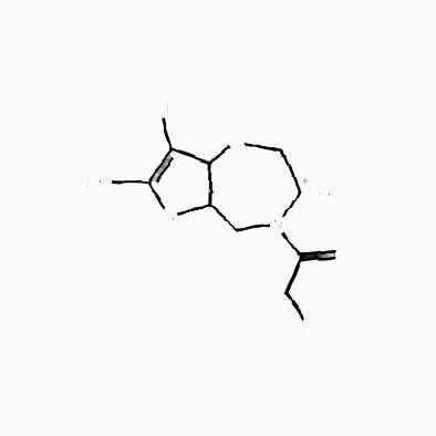 CC1=C(C)C2OC[C@H](C(F)(F)F)N(C(=O)CBr)CC2S1